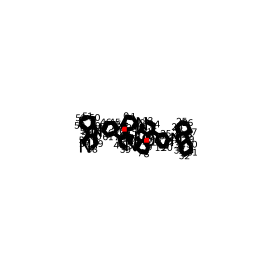 c1ccc([Si](c2ccccc2)(c2nccc3c2oc2ccc(-n4c5ccccc5c5ccccc54)cc23)c2nccc3c2sc2ccc(-n4c5ccccc5c5cnccc54)cc23)cc1